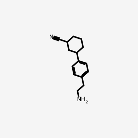 N#CC1CCCC(c2ccc(CCN)cc2)C1